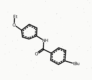 CCOc1ccc(NC(=O)c2ccc(C(C)(C)C)cc2)cc1